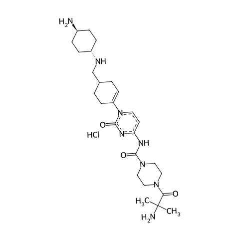 CC(C)(N)C(=O)N1CCN(C(=O)Nc2ccn(C3=CCC(CN[C@H]4CC[C@H](N)CC4)CC3)c(=O)n2)CC1.Cl